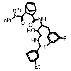 CCCN(CCC)C(=O)C1C2C=CC(C2)C1C(=O)NC(Cc1cc(F)cc(F)c1)C(O)CNCc1cccc(CC)c1